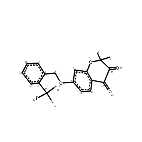 CC1(C)Oc2cc(OCc3ccccc3C(F)(F)F)ccc2C(=O)C1=O